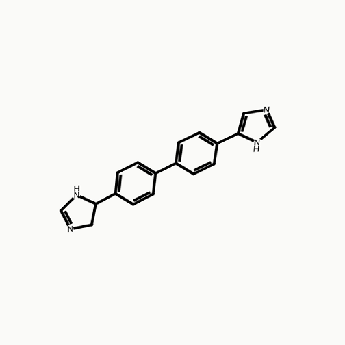 C1=NCC(c2ccc(-c3ccc(-c4cnc[nH]4)cc3)cc2)N1